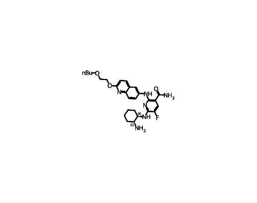 CCCCOCCOc1ccc2cc(Nc3nc(N[C@@H]4CCCC[C@@H]4N)c(F)cc3C(N)=O)ccc2n1